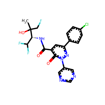 CC(O)(CF)[C@H](NC(=O)c1cc(-c2ccc(Cl)cc2)nn(-c2cncnc2)c1=O)C(F)F